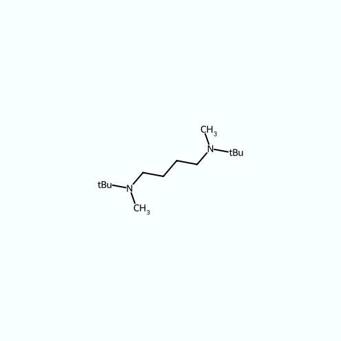 CN(CCCCN(C)C(C)(C)C)C(C)(C)C